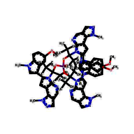 COc1ccc2c(c1)c(-c1cc3c4c(cnc3n1C(OP(=O)(OC(n1c(-c3cn(C)c5ccc(OC)cc35)cc3c5c(cnc31)cnn5C)(C(C)(C)C)C(C)(C)C)OC(n1c(-c3cn(C)c5ccc(OC)cc35)cc3c5c(cnc31)cnn5C)(C(C)(C)C)C(C)(C)C)(C(C)(C)C)C(C)(C)C)cnn4C)cn2C